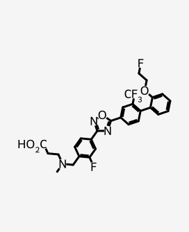 CN(CCC(=O)O)Cc1ccc(-c2noc(-c3ccc(-c4ccccc4OCCF)c(C(F)(F)F)c3)n2)cc1F